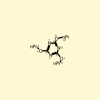 CCCOc1nc(OCCC)nc(OCCC)n1